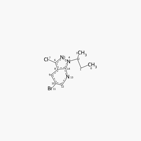 CCC(C)n1nc(Cl)c2cc(Br)cnc21